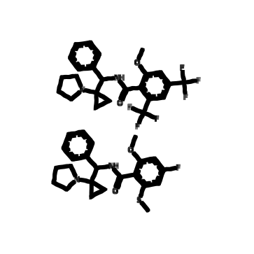 COc1cc(C(F)(F)F)cc(C(F)(F)F)c1C(=O)NC(c1ccccc1)C1(N2CCCC2)CC1.COc1cc(F)cc(SC)c1C(=O)NC(c1ccccc1)C1(N2CCCC2)CC1